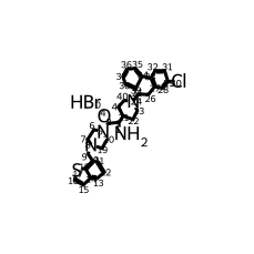 Br.N[C@@H](C(=O)N1CCN(Cc2cccc3ccsc23)CC1)C1CCN(CCc2cc(Cl)ccc2-c2ccccc2)CC1